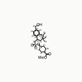 COC(=O)C1CCN(OS(=O)(=O)CC2CC(C)(C)N(C)c3cc(CO)ccc32)CC1